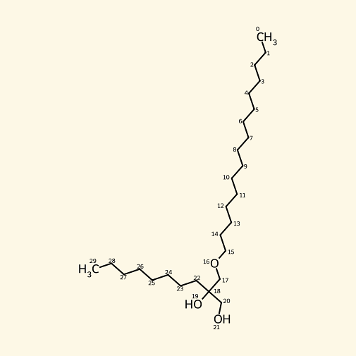 CCCCCCCCCCCCCCCCOCC(O)(CO)CCCCCCCC